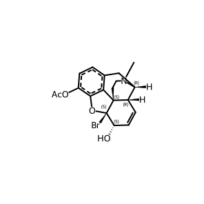 CC(=O)Oc1ccc2c3c1O[C@@]1(Br)[C@@H](O)C=C[C@H]4[C@@H](C2)N(C)CC[C@@]341